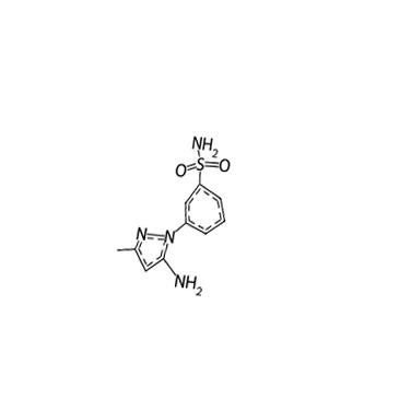 Cc1cc(N)n(-c2cccc(S(N)(=O)=O)c2)n1